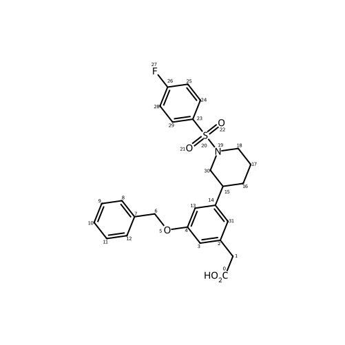 O=C(O)Cc1cc(OCc2ccccc2)cc(C2CCCN(S(=O)(=O)c3ccc(F)cc3)C2)c1